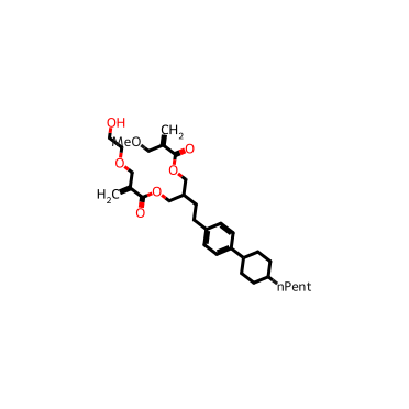 C=C(COC)C(=O)OCC(CCc1ccc(C2CCC(CCCCC)CC2)cc1)COC(=O)C(=C)COCCO